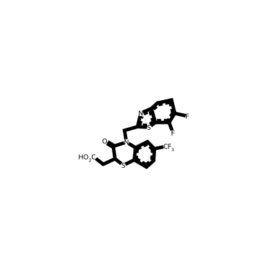 O=C(O)CC1Sc2ccc(C(F)(F)F)cc2N(Cc2nc3ccc(F)c(F)c3s2)C1=O